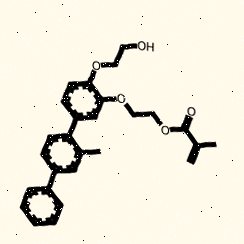 C=C(C)C(=O)OCCOc1cc(-c2ccc(-c3ccccc3)cc2C)ccc1OCCO